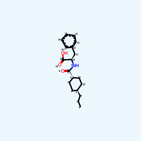 CCC[C@H]1CC[C@H](C(=O)N[C@H](Cc2ccccc2)C(=O)O)CC1